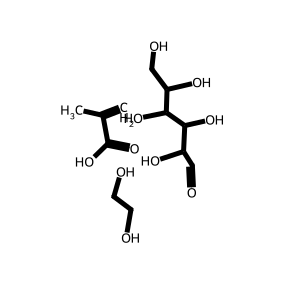 C=C(C)C(=O)O.O=CC(O)C(O)C(O)C(O)CO.OCCO